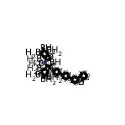 B=c1oc2c(B)c(B)c(B)c(B)c2/c1=C(\B)c1c(C)n(-c2ccc(-c3ccc(-c4ccc5oc6ccccc6c5c4)cc3)cc2)c2c(B)c(B)c(B)c(B)c12